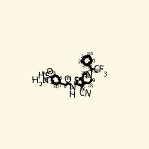 C[SH](N)(=O)c1ccc(CC(=O)Nc2sc3c(c2C#N)CCN(C(c2ccccc2)C(F)(F)F)C3)cc1